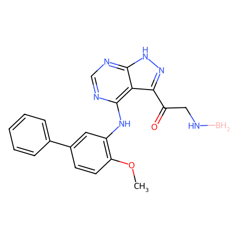 BNCC(=O)c1n[nH]c2ncnc(Nc3cc(-c4ccccc4)ccc3OC)c12